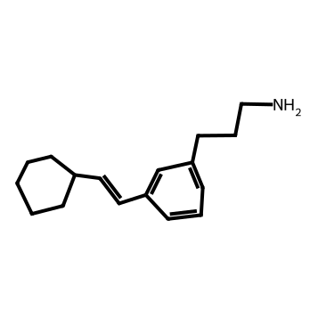 NCCCc1cccc(C=CC2CCCCC2)c1